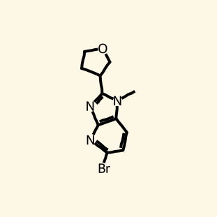 Cn1c(C2CCOC2)nc2nc(Br)ccc21